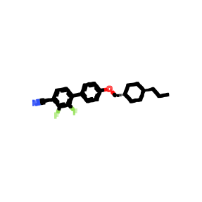 CCC[C@H]1CC[C@H](COc2ccc(-c3ccc(C#N)c(F)c3F)cc2)CC1